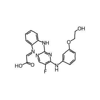 O=C(O)C=Nc1ccccc1Nc1ncc(F)c(Nc2cccc(OCCO)c2)n1